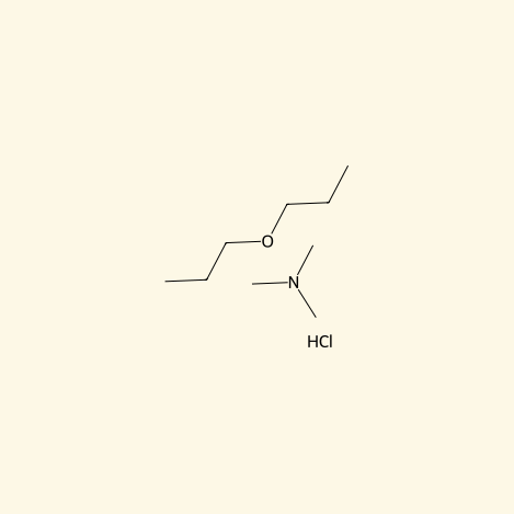 CCCOCCC.CN(C)C.Cl